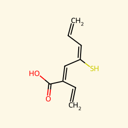 C=C/C=C(S)\C=C(/C=C)C(=O)O